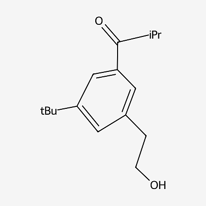 CC(C)C(=O)c1cc(CCO)cc(C(C)(C)C)c1